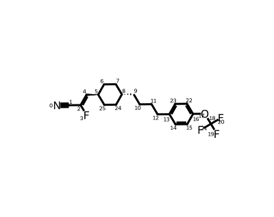 N#C/C(F)=C/[C@H]1CC[C@H](CCCCc2ccc(OC(F)(F)F)cc2)CC1